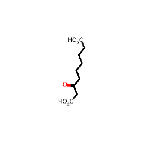 O=C(O)CCCCCC(=O)CC(=O)O